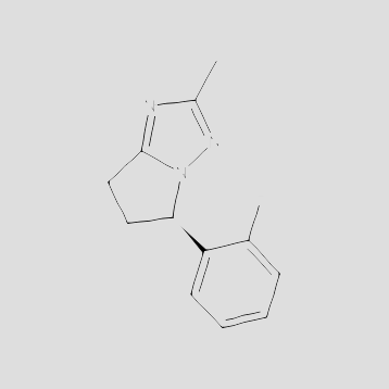 Cc1nc2n(n1)[C@@H](c1ccccc1F)CC2